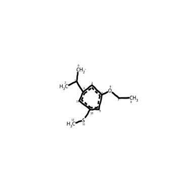 [CH2]C(C)c1cc(OCC)cc(SC)c1